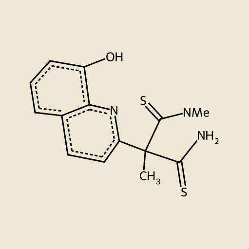 CNC(=S)C(C)(C(N)=S)c1ccc2cccc(O)c2n1